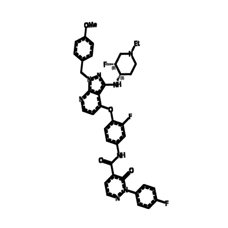 CCN1CC[C@H](Nc2nn(Cc3ccc(OC)cc3)c3nccc(Oc4ccc(NC(=O)c5ccnn(-c6ccc(F)cc6)c5=O)cc4F)c23)[C@H](F)C1